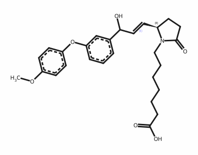 COc1ccc(Oc2cccc(C(O)/C=C/[C@H]3CCC(=O)N3CCCCCCC(=O)O)c2)cc1